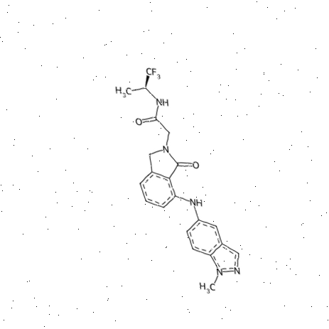 C[C@H](NC(=O)CN1Cc2cccc(Nc3ccc4c(cnn4C)c3)c2C1=O)C(F)(F)F